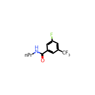 CCCNC(=O)c1cc(F)cc(C(F)(F)F)c1